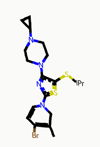 CC1=C(Br)C=CN(c2nc(N3CCN(C4CC4)CC3)c(SC(C)C)s2)C1